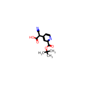 CC(C)(C)OC(=O)c1cc(C(C#N)C(=O)O)ccn1